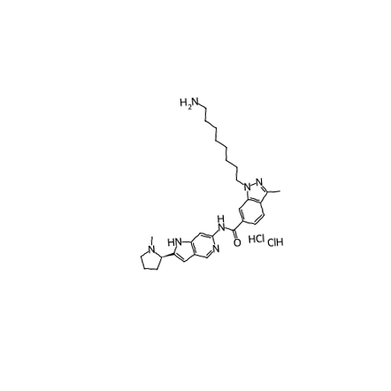 Cc1nn(CCCCCCCCN)c2cc(C(=O)Nc3cc4[nH]c([C@H]5CCCN5C)cc4cn3)ccc12.Cl.Cl